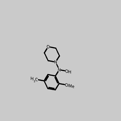 COc1ccc(C)cc1N(O)N1CCOCC1